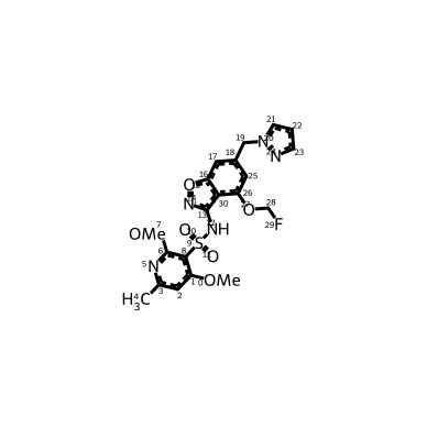 COc1cc(C)nc(OC)c1S(=O)(=O)Nc1noc2cc(Cn3cccn3)cc(OCF)c12